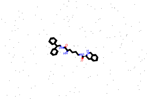 N=C(CCCCNC(=O)[C@@H]1Cc2ccccc2CN1)C(=O)NCC(c1ccccc1)c1ccccc1